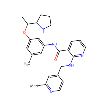 CNc1cc(CNc2ncccc2C(=O)Nc2cc(OC(C)C3CCCN3)cc(C(F)(F)F)c2)ccn1